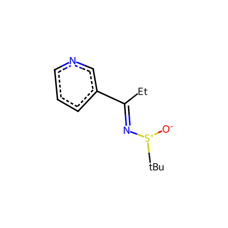 CC/C(=N\[S+]([O-])C(C)(C)C)c1cccnc1